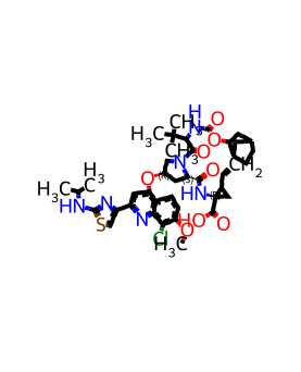 C=CC1C[C@]1(NC(=O)[C@@H]1C[C@@H](Oc2cc(-c3csc(NC(C)C)n3)nc3c(Cl)c(OC)ccc23)CN1C(=O)C(NC(=O)OC1CC2CCC1C2)C(C)(C)C)C(=O)O